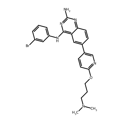 CN(C)CCCOc1ccc(-c2ccc3nc(N)nc(Nc4cccc(Br)c4)c3c2)cn1